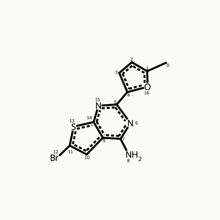 Cc1ccc(-c2nc(N)c3cc(Br)sc3n2)o1